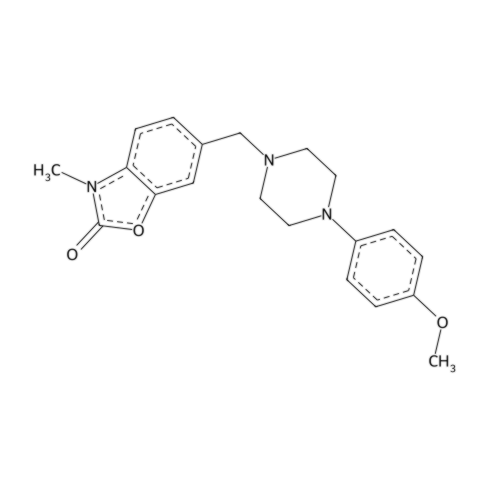 COc1ccc(N2CCN(Cc3ccc4c(c3)oc(=O)n4C)CC2)cc1